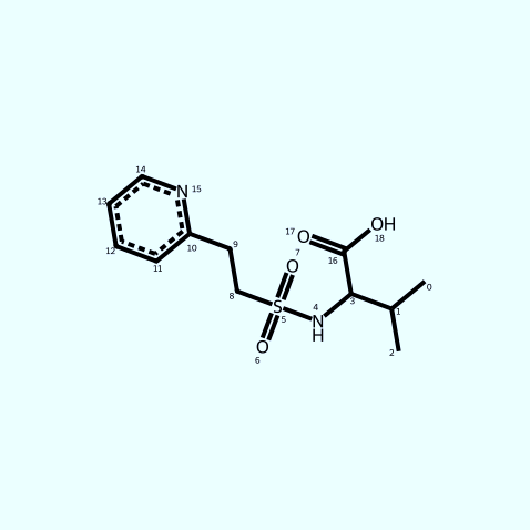 CC(C)C(NS(=O)(=O)CCc1ccccn1)C(=O)O